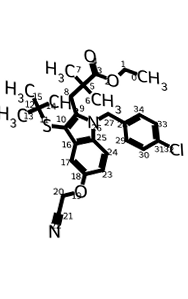 CCOC(=O)C(C)(C)Cc1c(SC(C)(C)C)c2cc(OCC#N)ccc2n1Cc1ccc(Cl)cc1